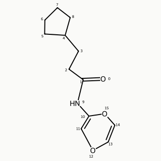 O=C(CCC1CCCC1)NC1=COC=CO1